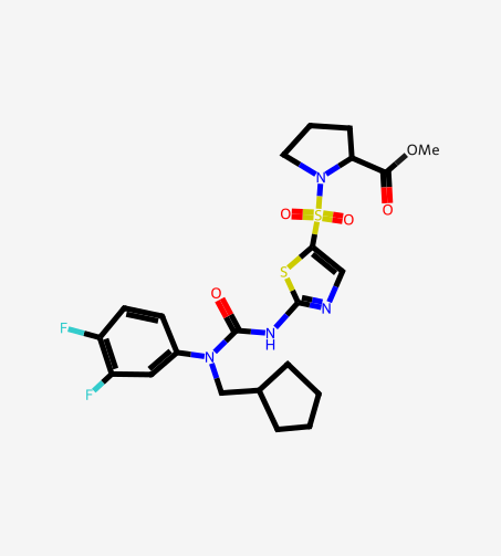 COC(=O)C1CCCN1S(=O)(=O)c1cnc(NC(=O)N(CC2CCCC2)c2ccc(F)c(F)c2)s1